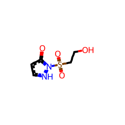 O=c1cc[nH]n1S(=O)(=O)CCO